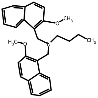 CCCCN(Cc1c(OC)ccc2ccccc12)Cc1c(OC)ccc2ccccc12